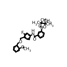 COc1ccccc1COCc1ccc(NC(=O)c2cccc(B3OC(C)(C)C(C)(C)O3)c2)cc1F